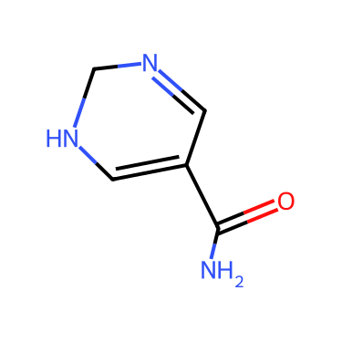 NC(=O)C1=CNCN=C1